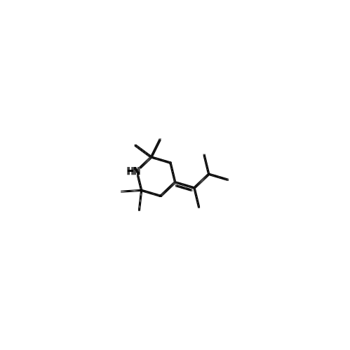 CC(=C1CC(C)(C)NC(C)(C)C1)C(C)C